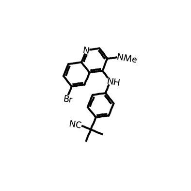 CNc1cnc2ccc(Br)cc2c1Nc1ccc(C(C)(C)C#N)cc1